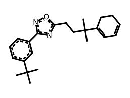 CC(C)(CCc1nc(-c2cccc(C(C)(C)C)c2)no1)C1=CC=CCC1